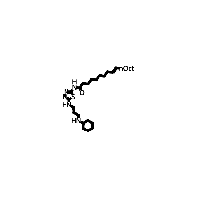 CCCCCCCCC=CCCCCCCCC(=O)Nc1nnc(NCCCNC2CCCCC2)s1